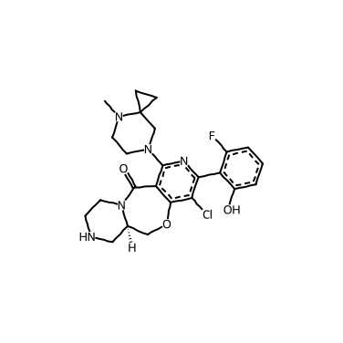 CN1CCN(c2nc(-c3c(O)cccc3F)c(Cl)c3c2C(=O)N2CCNC[C@@H]2CO3)CC12CC2